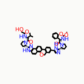 COC(=O)N[C@@H](C(=O)N1CCC[C@H]1c1ncc(-c2ccc3c(c2)COc2c-3ccc3c2ccc2[nH]c([C@@H]4CCCN4C(=O)[C@@H](NC(=O)CO)C(C)C)nc23)[nH]1)c1ccccc1